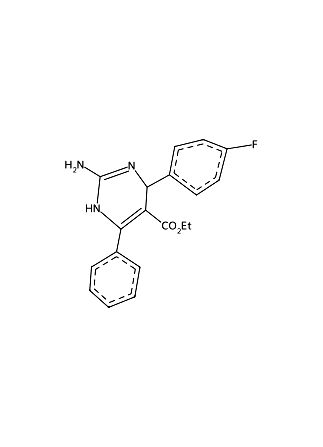 CCOC(=O)C1=C(c2ccccc2)NC(N)=NC1c1ccc(F)cc1